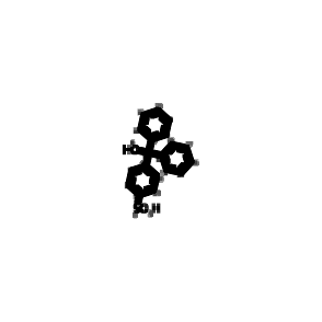 O=S(=O)(O)c1ccc(C(O)(c2ccccc2)c2ccccc2)cc1